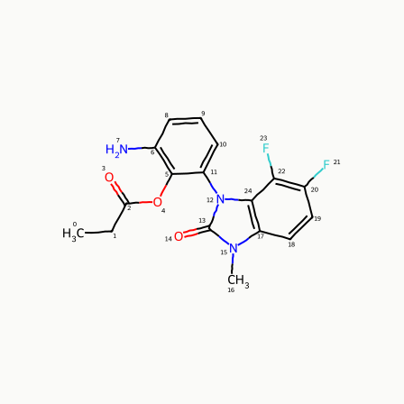 CCC(=O)Oc1c(N)cccc1-n1c(=O)n(C)c2ccc(F)c(F)c21